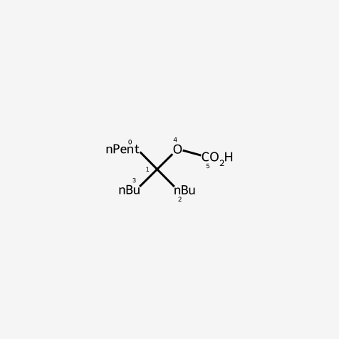 CCCCCC(CCCC)(CCCC)OC(=O)O